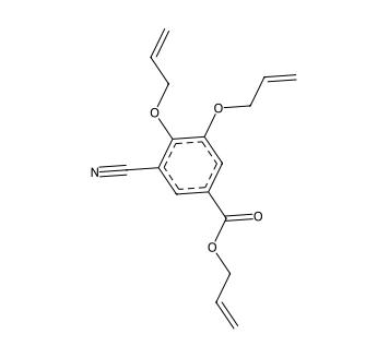 C=CCOC(=O)c1cc(C#N)c(OCC=C)c(OCC=C)c1